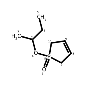 CCC(C)OP1(=O)CC=CC1